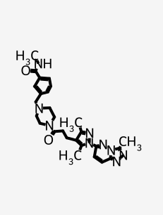 CNC(=O)c1cccc(CN2CCN(C(=O)CCc3c(C)nn(-c4ccc5nnc(C)n5n4)c3C)CC2)c1